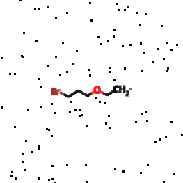 [CH2]COCCCBr